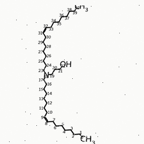 CCCCCCCC/C=C\CCCCCCCCN(CCCO)CCCCCCCC/C=C\CCCCCCCC